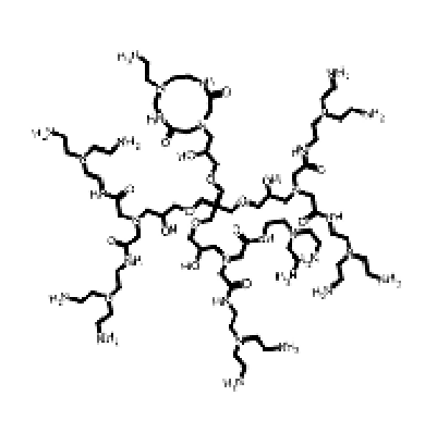 NCCN(CCN)CCNC(=O)CN(CC(=O)NCCN(CCN)CCN)CC(O)COCC(COCC(O)CN(CC(=O)NCCN(CCN)CCN)CC(=O)NCCN(CCN)CCN)(COCC(O)CN(CC(=O)NCCN(CCN)CCN)CC(=O)NCCN(CCN)CCN)COCC(O)CN1CC(=O)NCCN(CCN)CNC(=O)C1